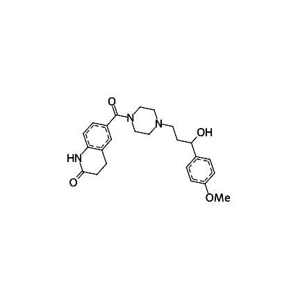 COc1ccc(C(O)CCN2CCN(C(=O)c3ccc4c(c3)CCC(=O)N4)CC2)cc1